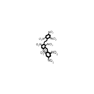 O=[N+]([O-])c1cc([N+](=O)[O-])c(C=Cc2c([N+](=O)[O-])cc([N+](=O)[O-])c(Cc3c([N+](=O)[O-])cc([N+](=O)[O-])cc3[N+](=O)[O-])c2[N+](=O)[O-])c([N+](=O)[O-])c1